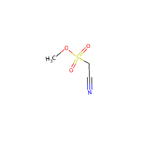 COS(=O)(=O)CC#N